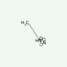 CCCCCCCCCCCCCCCC(=O)Nc1c2c(nc3ccccc13)CCCC2